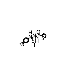 COc1ccc(N/C(S)=N/NC(=O)C2=CCCS2)cc1